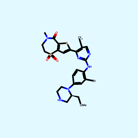 CCc1cc(N2CCNC[C@@H]2COC)ccc1Nc1ncc(C(F)(F)F)c(-c2cc3c(s2)C(=O)N(C)CCS3(=O)=O)n1